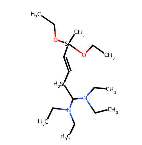 CCO[Si](C)(C=C[SiH2]C(N(CC)CC)N(CC)CC)OCC